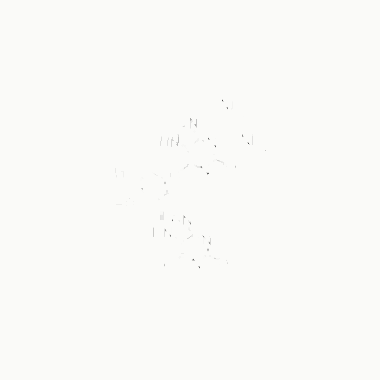 CC(C)c1cccc(C(C)C)c1O.Cn1c(=O)c2[nH]cnc2n(C)c1=O.Cn1c(=O)c2[nH]cnc2n(C)c1=O.NCCN